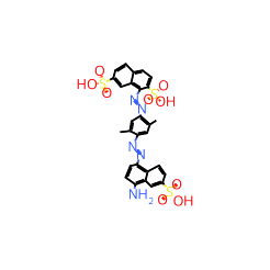 Cc1cc(N=Nc2ccc(N)c3cc(S(=O)(=O)O)ccc23)c(C)cc1N=Nc1c(S(=O)(=O)O)ccc2ccc(S(=O)(=O)O)cc12